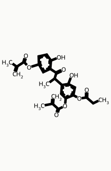 C=C(C)C(=O)Oc1ccc(O)c(C(=O)C(C)c2cc(OC(=O)C(=C)C)c(OC(=O)CC)cc2O)c1